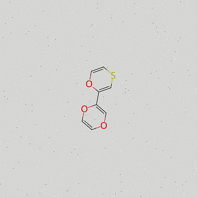 C1=COC(C2=CSC=CO2)=CO1